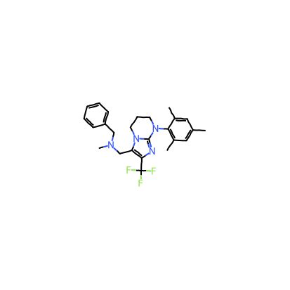 Cc1cc(C)c(N2CCCn3c2nc(C(F)(F)F)c3CN(C)Cc2ccccc2)c(C)c1